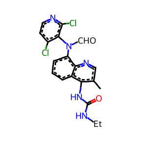 CCNC(=O)Nc1c(C)cnc2c(N(C=O)c3c(Cl)ccnc3Cl)cccc12